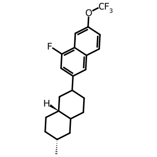 C[C@@H]1CC[C@@H]2CC(c3cc(F)c4cc(OC(F)(F)F)ccc4c3)CCC2C1